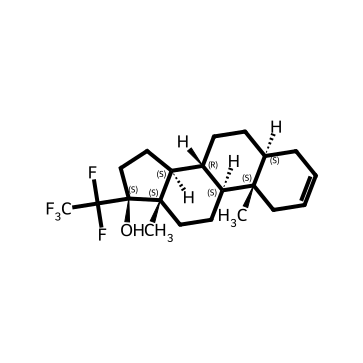 C[C@]12CC=CC[C@@H]1CC[C@@H]1[C@@H]2CC[C@@]2(C)[C@H]1CC[C@@]2(O)C(F)(F)C(F)(F)F